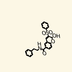 O=C(NCCc1ccccc1)c1ccc2c(c1)C=C(S(=O)(=O)c1ccccc1)C(O)O2